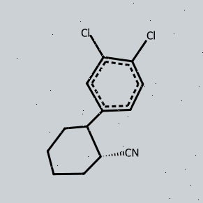 N#C[C@@H]1CCCCC1c1ccc(Cl)c(Cl)c1